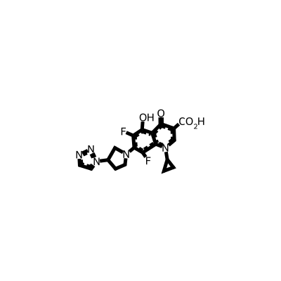 O=C(O)c1cn(C2CC2)c2c(F)c(N3CCC(n4ccnn4)C3)c(F)c(O)c2c1=O